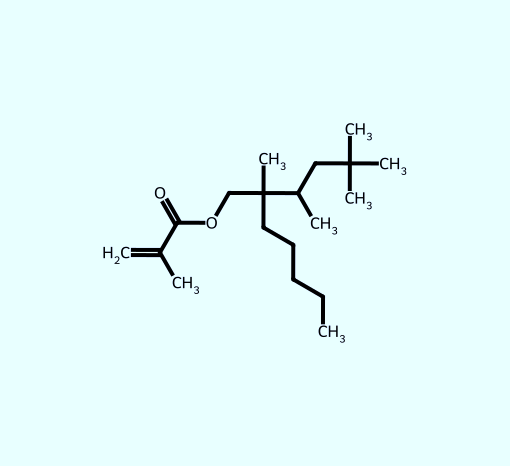 C=C(C)C(=O)OCC(C)(CCCCC)C(C)CC(C)(C)C